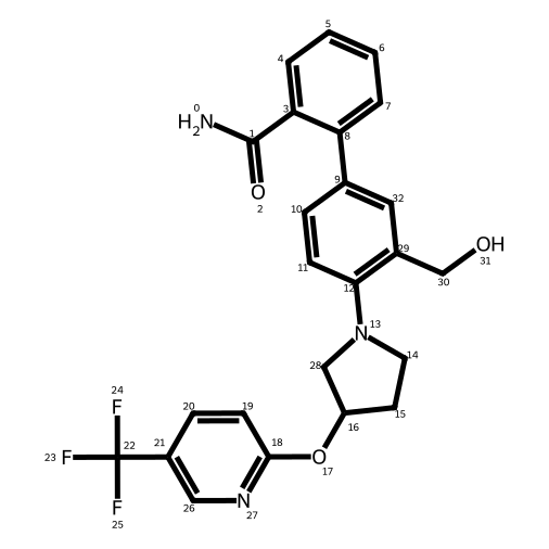 NC(=O)c1ccccc1-c1ccc(N2CCC(Oc3ccc(C(F)(F)F)cn3)C2)c(CO)c1